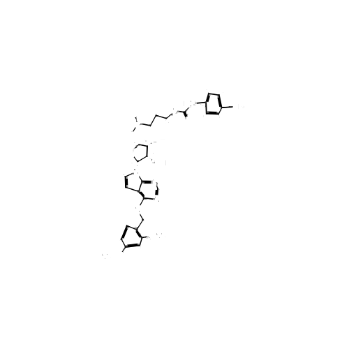 COc1ccc(CNc2ncnc3c2ccn3[C@@H]2O[C@H](CN(C)CCCNC(=O)Nc3ccc(C(C)(C)C)cc3)[C@@H](O)[C@H]2O)c(OC)c1